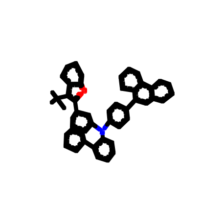 CC(C)(C)c1c(-c2cccc(N(c3ccc(-c4cc5ccccc5c5ccccc45)cc3)c3ccccc3-c3ccccc3)c2)oc2ccccc12